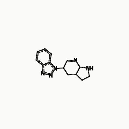 C1=NC2NCCC2CC1n1nnc2ccccc21